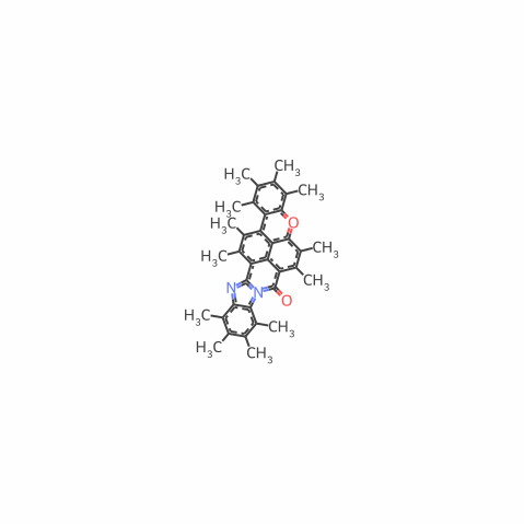 Cc1c(C)c(C)c2c(nc3c4c(C)c(C)c5c6c(C)c(C)c(C)c(C)c6oc6c(C)c(C)c(c(=O)n32)c4c65)c1C